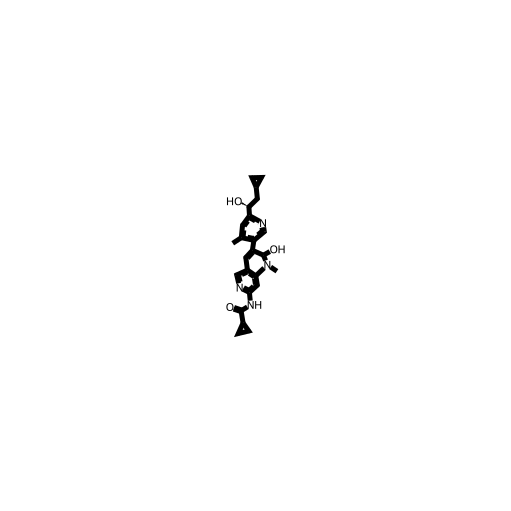 Cc1cc([C@H](O)CC2CC2)ncc1C1=Cc2cnc(NC(=O)C3CC3)cc2N(C)C1O